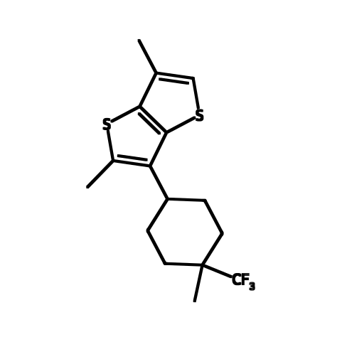 Cc1sc2c(C)csc2c1C1CCC(C)(C(F)(F)F)CC1